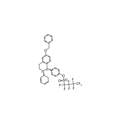 O=S(=O)(Oc1ccc([C@@H]2c3ccc(OCc4ccccc4)cc3CC[C@@H]2C2C=CC=CC2)cc1)C(F)(F)C(F)(F)C(F)(F)C(F)(F)F